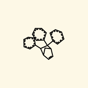 C1=CC2CC1C(c1ccccc1)C2(c1ccccc1)c1ccccc1